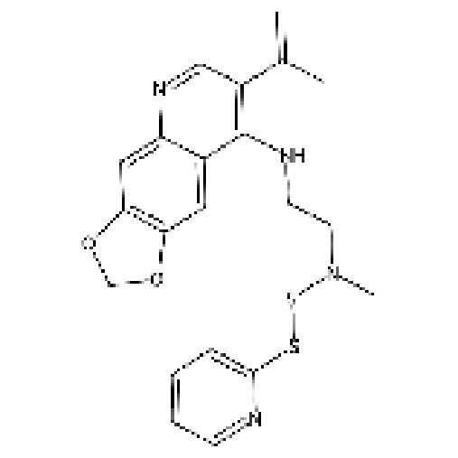 C=C(C)c1cnc2cc3c(cc2c1NCCN(C)SSc1ccccn1)OCO3